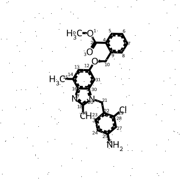 COC(=O)c1ccccc1COc1cc(C)c2nc(C)n(Cc3ccc(N)cc3Cl)c2c1